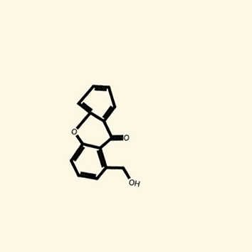 O=c1c2ccccc2oc2cccc(CO)c12